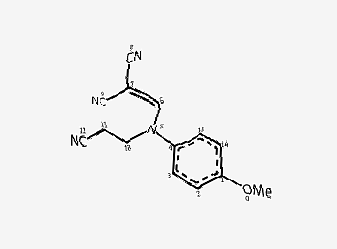 COc1ccc(N(C=C(C#N)C#N)CCC#N)cc1